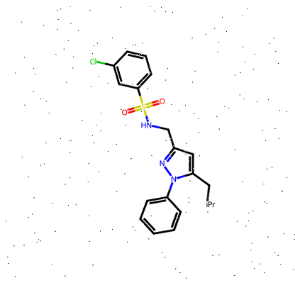 CC(C)Cc1cc(CNS(=O)(=O)c2cccc(Cl)c2)nn1-c1ccccc1